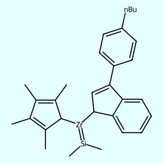 CCCCc1ccc(C2=C[CH]([Zr]([CH]3C(C)=C(C)C(C)=C3C)=[Si](C)C)c3ccccc32)cc1